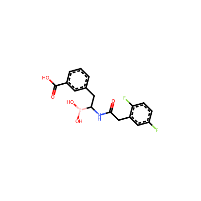 O=C(Cc1cc(F)ccc1F)NC(Cc1cccc(C(=O)O)c1)B(O)O